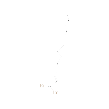 CCCCCCCCCCC=CC(Br)Br